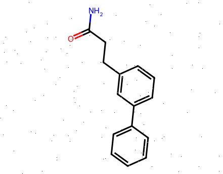 NC(=O)C[CH]c1cccc(-c2ccccc2)c1